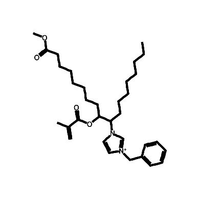 C=C(C)C(=O)OC(CCCCCCCC(=O)OC)C(CCCCCCCC)n1cc[n+](Cc2ccccc2)c1